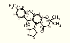 CC(C)c1cc2c(c(C3CCCC3)c1C(O)c1ccc(C(F)(F)F)cc1)C(=O)CC(C)(C)O2